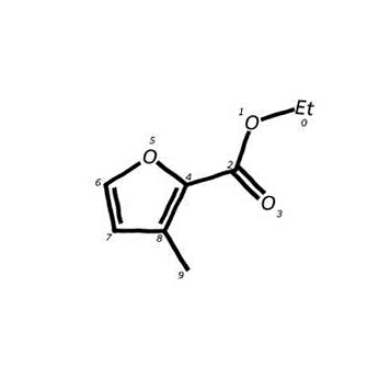 CCOC(=O)c1occc1C